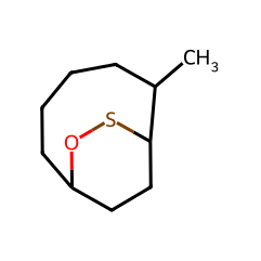 CC1CCCCC2CCC1SO2